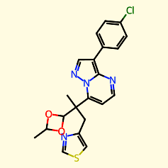 CC1OC(C(C)(Cc2cscn2)c2ccnc3c(-c4ccc(Cl)cc4)cnn23)O1